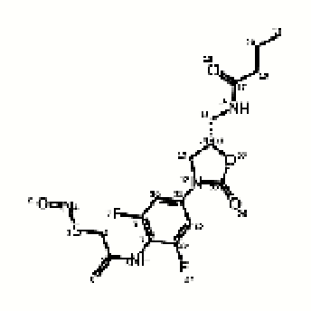 C=C(CSN=O)Nc1c(F)cc(N2C[C@H](CNC(=O)CCC)OC2=O)cc1F